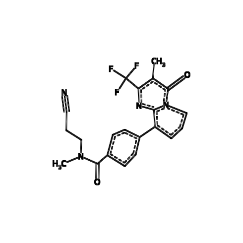 Cc1c(C(F)(F)F)nc2c(-c3ccc(C(=O)N(C)CCC#N)cc3)cccn2c1=O